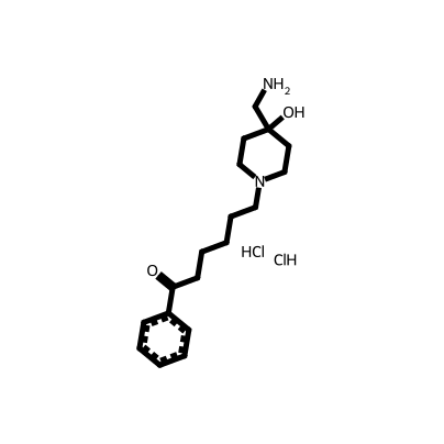 Cl.Cl.NCC1(O)CCN(CCCCCC(=O)c2ccccc2)CC1